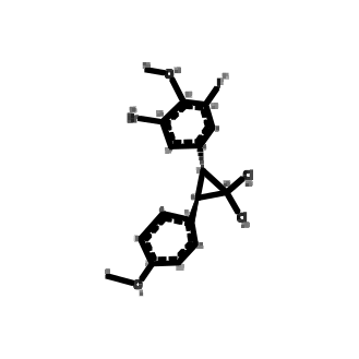 COc1ccc([C@H]2[C@H](c3cc(F)c(OC)c(Br)c3)C2(Cl)Cl)cc1